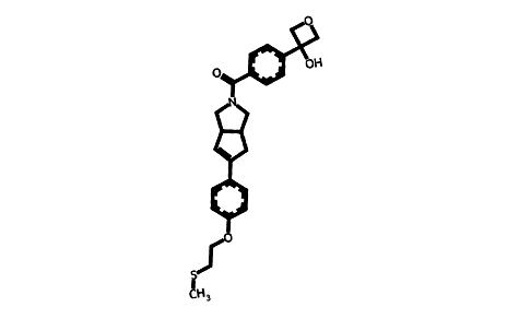 CSCCOc1ccc(C2=CC3CN(C(=O)c4ccc(C5(O)COC5)cc4)CC3C2)cc1